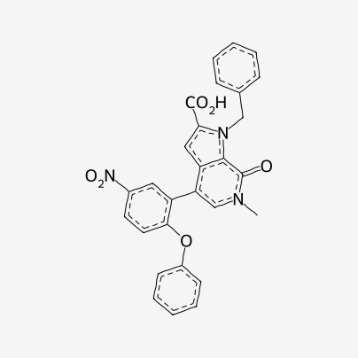 Cn1cc(-c2cc([N+](=O)[O-])ccc2Oc2ccccc2)c2cc(C(=O)O)n(Cc3ccccc3)c2c1=O